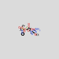 CCOc1nc(N)nc2c1ncn2[C@@H]1O[C@](F)(CO[P@@](=S)(N[C@H](C)C(=O)OC(C)C)Oc2ccccc2)[C@@H](O)[C@@]1(C)O